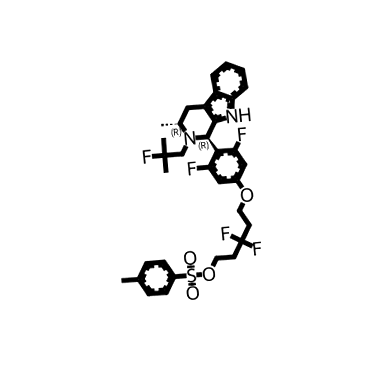 Cc1ccc(S(=O)(=O)OCCC(F)(F)CCOc2cc(F)c([C@@H]3c4[nH]c5ccccc5c4C[C@@H](C)N3CC(C)(C)F)c(F)c2)cc1